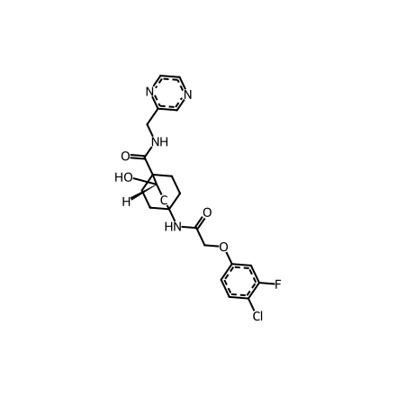 O=C(COc1ccc(Cl)c(F)c1)NC12CCC(C(=O)NCc3cnccn3)(CC1)[C@@H](O)C2